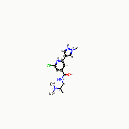 CCN(CC)C(C)CNC(=O)c1cc(Cl)nc(-c2cnn(C)c2)c1